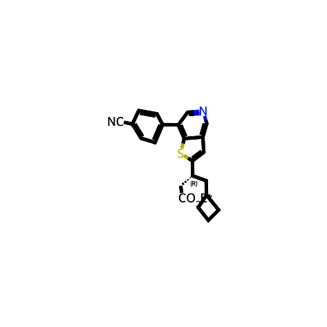 CCOC(=O)C[C@@H](CC1CCC1)c1cc2cncc(-c3ccc(C#N)cc3)c2s1